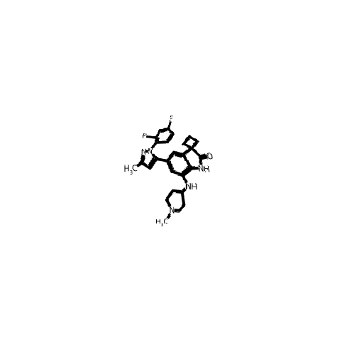 Cc1cc(-c2cc(NC3CCN(C)CC3)c3c(c2)C2(CCC2)C(=O)N3)n(-c2ccc(F)cc2F)n1